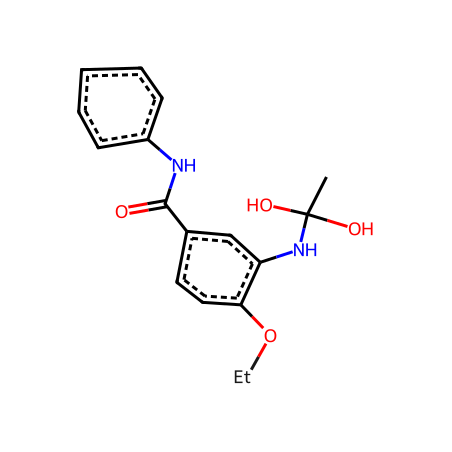 CCOc1ccc(C(=O)Nc2ccccc2)cc1NC(C)(O)O